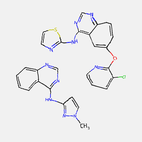 Clc1cccnc1Oc1ccc2ncnc(Nc3nccs3)c2c1.Cn1ccc(Nc2ncnc3ccccc23)n1